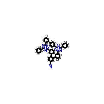 N#Cc1ccc(-c2cccc(-c3nc(-c4ccccc4)nc(-c4ccccc4)n3)c2)c(-c2cccc(-c3nc(-c4ccccc4)nc(-c4ccccc4)n3)c2)c1